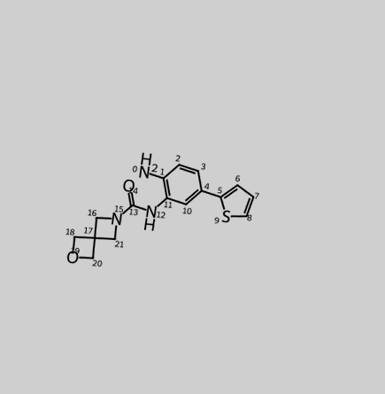 Nc1ccc(-c2cccs2)cc1NC(=O)N1CC2(COC2)C1